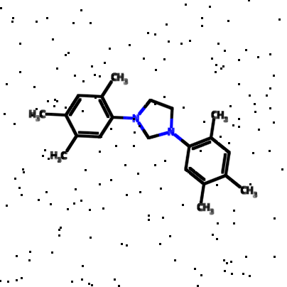 Cc1cc(C)c(N2CCN(c3cc(C)c(C)cc3C)C2)cc1C